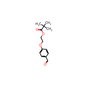 CC(C)(C)C(=O)OCCOc1ccc(C=O)cc1